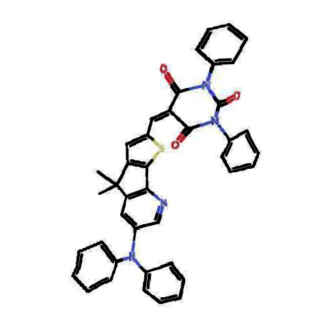 CC1(C)c2cc(N(c3ccccc3)c3ccccc3)cnc2-c2sc(C=C3C(=O)N(c4ccccc4)C(=O)N(c4ccccc4)C3=O)cc21